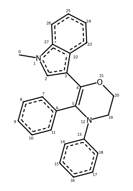 Cn1cc(C2=C(c3ccccc3)N(c3ccccc3)CCO2)c2ccccc21